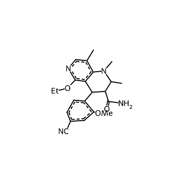 CCOc1ncc(C)c2c1C(c1ccc(C#N)cc1OC)C(C(N)=O)C(C)N2C